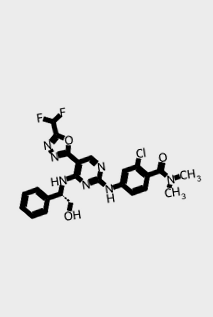 CN(C)C(=O)c1ccc(Nc2ncc(-c3nnc(C(F)F)o3)c(N[C@H](CO)c3ccccc3)n2)cc1Cl